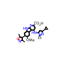 CCn1nc(C2CC2)cc1Nc1cc(C(=O)O)nc2[nH]c3cc(-c4c(C)noc4C)c(OC)cc3c12